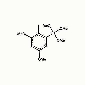 COc1cc(OC)c(C)c([Si](OC)(OC)OC)c1